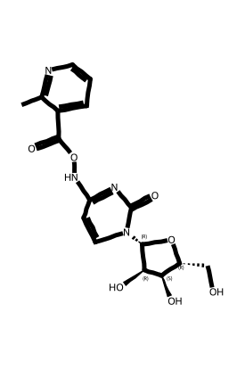 Cc1ncccc1C(=O)ONc1ccn([C@@H]2O[C@H](CO)[C@@H](O)[C@H]2O)c(=O)n1